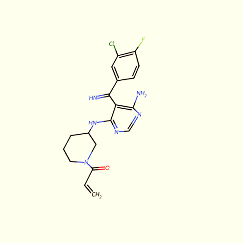 C=CC(=O)N1CCCC(Nc2ncnc(N)c2C(=N)c2ccc(F)c(Cl)c2)C1